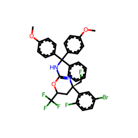 COc1ccc(C(NC2=N[C@](CF)(c3cc(Br)ccc3F)CC(C(F)(F)F)O2)(c2ccccc2)c2ccc(OC)cc2)cc1